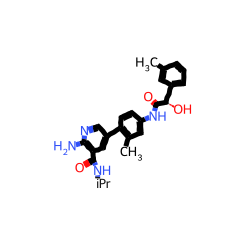 Cc1cccc([C@H](O)C(=O)Nc2ccc(-c3cnc(N)c(C(=O)NC(C)C)c3)c(C)c2)c1